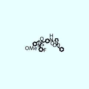 COc1cccc(CN2C(=O)C(c3ccc(NC(=O)[C@@H]4CCCN4C(=O)OCc4ccccc4)cc3)S/C2=N\c2cccc(F)c2)c1